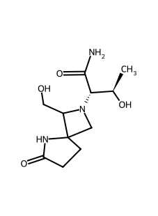 C[C@@H](O)[C@@H](C(N)=O)N1CC2(CCC(=O)N2)C1CO